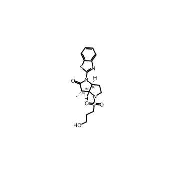 C[C@@H]1C(=O)N(c2nc3ccccc3s2)[C@H]2CCN(S(=O)(=O)CCCO)[C@H]12